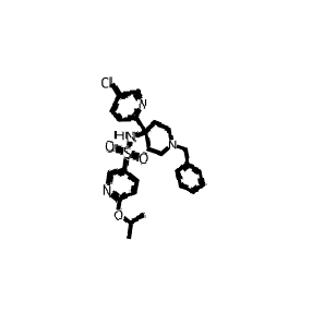 CC(C)Oc1ccc(S(=O)(=O)NC2(c3ccc(Cl)cn3)CCN(Cc3ccccc3)CC2)cn1